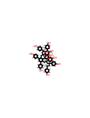 CC(=CC(C)(CC(C)(Cc1c(-c2ccc(O)cc2)cc(-c2ccc(O)cc2)c(CC(C)(CC(C)(CC(C)c2ccc(O)cc2)c2ccc(O)cc2)c2ccc(O)cc2)c1-c1ccc(O)cc1)c1ccc(O)cc1)c1ccc(O)cc1)c1ccc(O)cc1